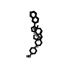 CC12CC=C3C=C4CC[C@@H](N5CCN(O)CC5)C[C@]45CC[C@]3(O5)[C@@H]1CCC2c1ccc2ccncc2c1